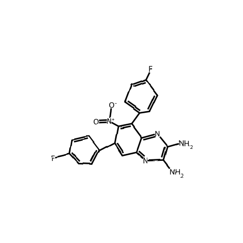 Nc1nc2cc(-c3ccc(F)cc3)c([N+](=O)[O-])c(-c3ccc(F)cc3)c2nc1N